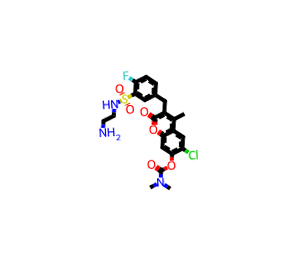 Cc1c(Cc2ccc(F)c(S(=O)(=O)NCCN)c2)c(=O)oc2cc(OC(=O)N(C)C)c(Cl)cc12